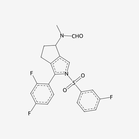 CN(C=O)C1CCc2c1cn(S(=O)(=O)c1cccc(F)c1)c2-c1ccc(F)cc1F